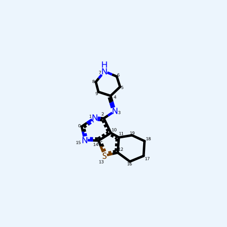 c1nc(N=C2CCNCC2)c2c3c(sc2n1)CCCC3